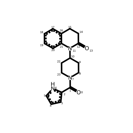 O=C(c1ccc[nH]1)N1CCC(N2C(=O)CCc3ccccc32)CC1